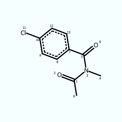 CC(=O)N(C)C(=O)c1ccc(Cl)cc1